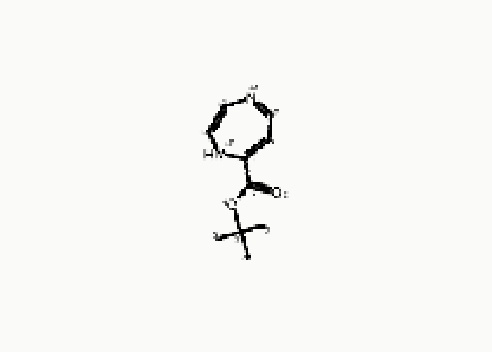 CC(C)(C)OC(=O)C1=CC=NC=CN1